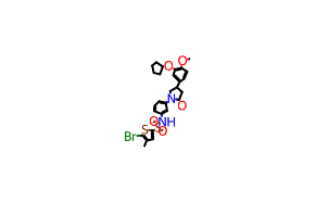 COc1ccc(C2CC(=O)N(c3cccc(NS(=O)(=O)c4cc(C)c(Br)s4)c3)C2)cc1OC1CCCC1